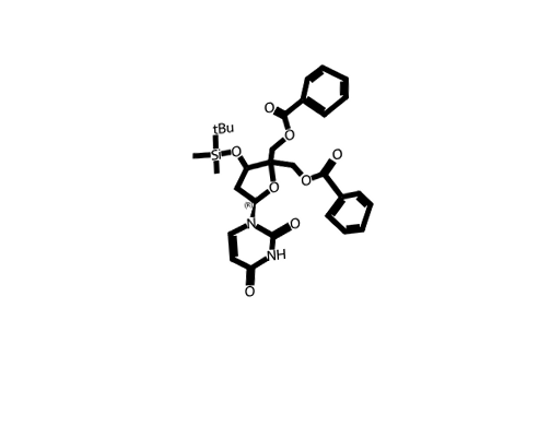 CC(C)(C)[Si](C)(C)OC1C[C@H](n2ccc(=O)[nH]c2=O)OC1(COC(=O)c1ccccc1)COC(=O)c1ccccc1